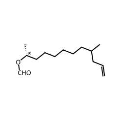 [CH2][C@H](CCCCCCC(C)CC=C)OC=O